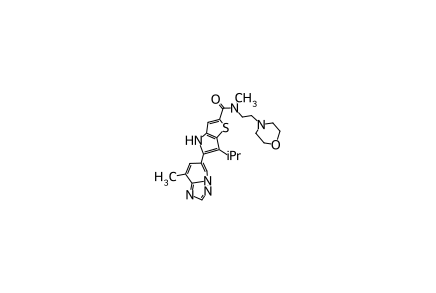 Cc1cc(-c2[nH]c3cc(C(=O)N(C)CCN4CCOCC4)sc3c2C(C)C)cn2ncnc12